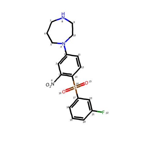 O=[N+]([O-])c1cc(N2CCCNCC2)ccc1S(=O)(=O)c1cccc(F)c1